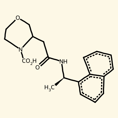 C[C@@H](NC(=O)CC1COCCN1C(=O)O)c1cccc2ccccc12